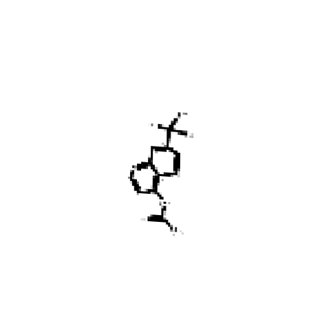 CC(=O)Nc1ccnc2cc(C(F)(F)F)ccc12